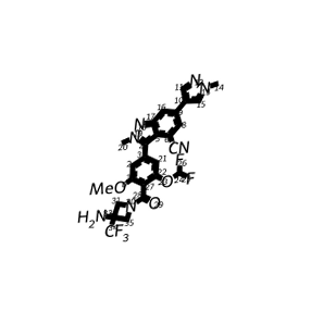 COc1cc(-c2c3c(C#N)cc(-c4cnn(C)c4)cc3nn2C)cc(OC(F)F)c1C(=O)N1CC(N)(C(F)(F)F)C1